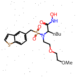 CCCCC(C(=O)NO)N(CCOCCOC)S(=O)(=O)Cc1ccc2sccc2c1